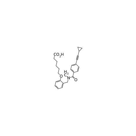 CN(Cc1ccccc1OCCCCCC(=O)O)C(=O)c1ccc(C#CC2CC2)cc1